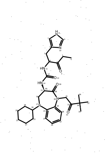 CCC(=O)C(Cc1c[nH]cn1)NC(=O)N[C@@H]1CN(C2CCCCC2)c2ccccc2N(CC(=O)C(C)(C)C)C1=O